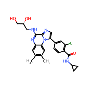 Cc1cc2nc(NC[C@@H](O)CO)c3ncc(-c4ccc(C(=O)NC5CC5)c(Cl)c4)n3c2cc1C